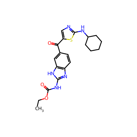 CCOC(=O)Nc1nc2ccc(C(=O)c3cnc(NC4CCCCC4)s3)cc2[nH]1